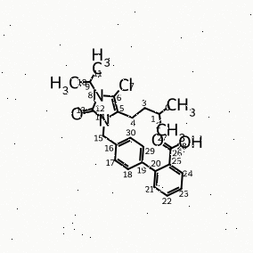 CC(C)CCc1c(Cl)n(C(C)C)c(=O)n1Cc1ccc(-c2ccccc2C(=O)O)cc1